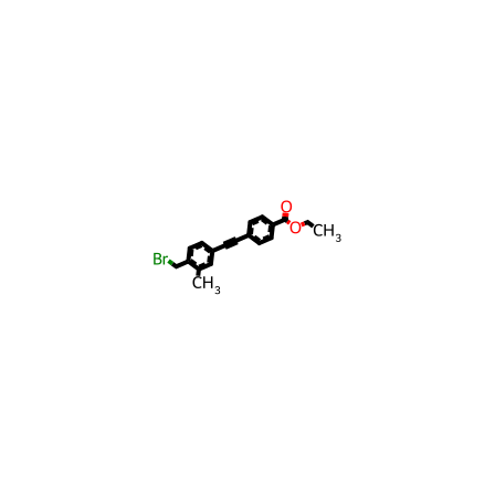 CCOC(=O)c1ccc(C#Cc2ccc(CBr)c(C)c2)cc1